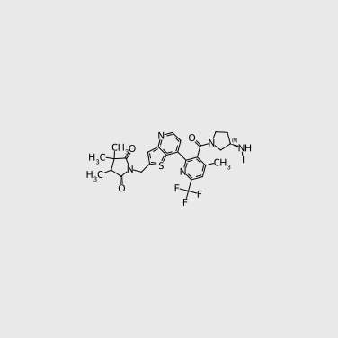 Cc1cc(C(F)(F)F)nc(-c2ccnc3cc(CN4C(=O)C(C)C(C)(C)C4=O)sc23)c1C(=O)N1CC[C@@H](NI)C1